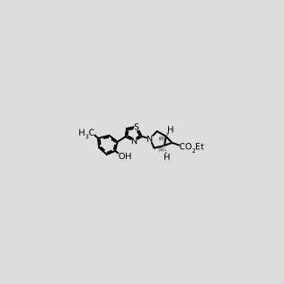 CCOC(=O)C1[C@H]2CN(c3nc(-c4cc(C)ccc4O)cs3)C[C@@H]12